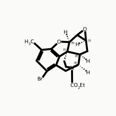 CCOC(=O)N1CC[C@]23c4c5c(Br)cc(C)c4O[C@H]2C2O[C@H]2C[C@H]3[C@H]1C5